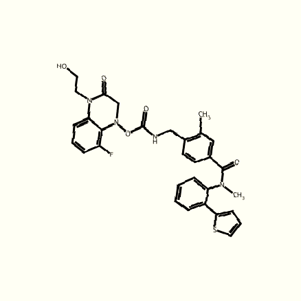 Cc1cc(C(=O)N(C)c2ccccc2-c2cccs2)ccc1CNC(=O)ON1CC(=O)N(CCO)c2cccc(F)c21